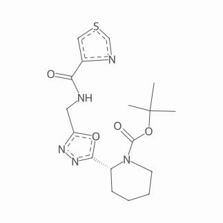 CC(C)(C)OC(=O)N1CCCC[C@@H]1c1nnc(CNC(=O)c2cscn2)o1